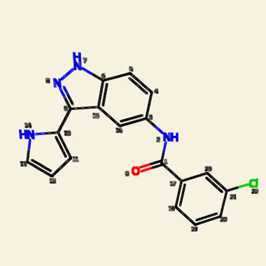 O=C(Nc1ccc2[nH]nc(-c3ccc[nH]3)c2c1)c1cccc(Cl)c1